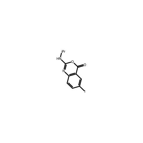 CC(C)Nc1nc2ccc(I)cc2c(=O)o1